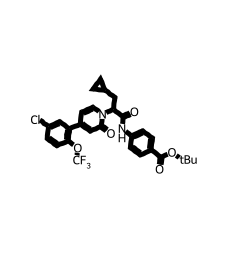 CC(C)(C)OC(=O)c1ccc(NC(=O)C(CC2CC2)n2ccc(-c3cc(Cl)ccc3OC(F)(F)F)cc2=O)cc1